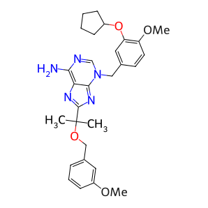 COc1cccc(COC(C)(C)c2nc3c(N)ncn(Cc4ccc(OC)c(OC5CCCC5)c4)c-3n2)c1